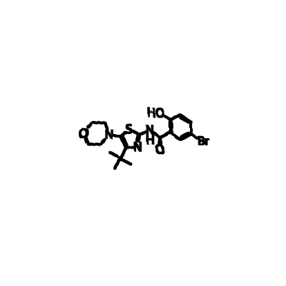 CC(C)(C)c1nc(NC(=O)c2cc(Br)ccc2O)sc1N1CCOCC1